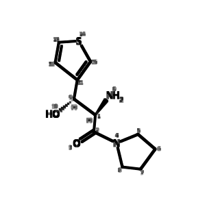 N[C@@H](C(=O)N1CCCC1)[C@H](O)c1ccsc1